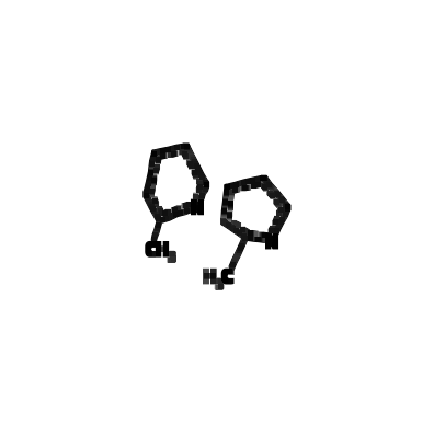 Cc1ccccn1.Cc1ccccn1